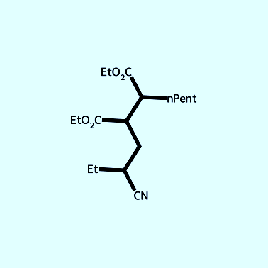 CCCCCC(C(=O)OCC)C(CC(C#N)CC)C(=O)OCC